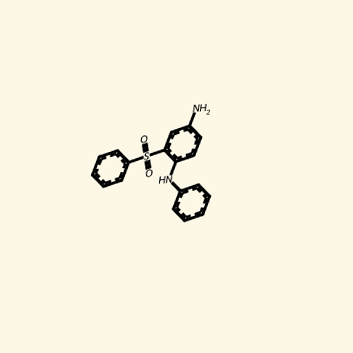 Nc1ccc(Nc2ccccc2)c(S(=O)(=O)c2ccccc2)c1